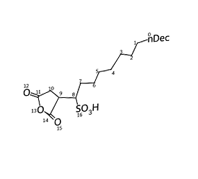 CCCCCCCCCCCCCCCCCC(C1CC(=O)OC1=O)S(=O)(=O)O